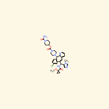 COC1(C(=O)NC(C2=Cc3cccnc3C(N3CCN(C(=O)OC4CCN(C(N)=O)CC4)CC3)c3ccc(Cl)cc32)c2cncn2C)CC1